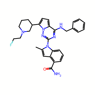 Cc1cc2c(C(N)=O)cccc2n1-c1nc(NCc2ccccc2)c2ccc(C3CCCN(CCF)C3)n2n1